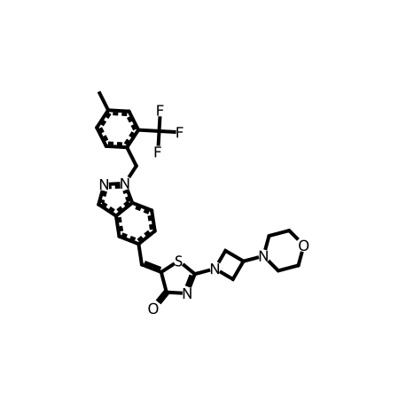 Cc1ccc(Cn2ncc3cc(/C=C4\SC(N5CC(N6CCOCC6)C5)=NC4=O)ccc32)c(C(F)(F)F)c1